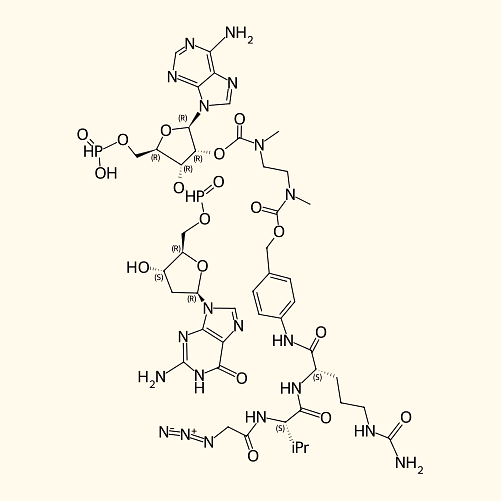 CC(C)[C@H](NC(=O)CN=[N+]=[N-])C(=O)N[C@@H](CCCNC(N)=O)C(=O)Nc1ccc(COC(=O)N(C)CCN(C)C(=O)O[C@@H]2[C@H](O[PH](=O)OC[C@H]3O[C@@H](n4cnc5c(=O)[nH]c(N)nc54)C[C@@H]3O)[C@@H](CO[PH](=O)O)O[C@H]2n2cnc3c(N)ncnc32)cc1